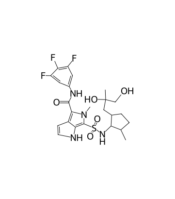 CC1CCC(CC(C)(O)CO)C1NS(=O)(=O)c1c2[nH]ccc2c(C(=O)Nc2cc(F)c(F)c(F)c2)n1C